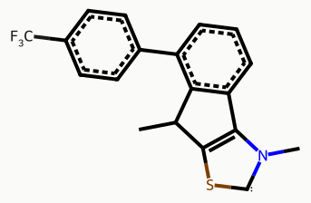 CC1C2=C(c3cccc(-c4ccc(C(F)(F)F)cc4)c31)N(C)[C]S2